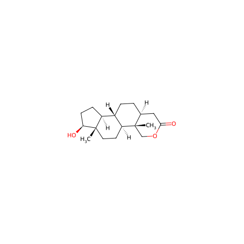 C[C@]12COC(=O)C[C@@H]1CC[C@@H]1[C@@H]2CC[C@]2(C)[C@@H](O)CC[C@@H]12